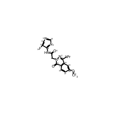 CC(C)c1nn(CC(=O)Nc2ncncc2F)c(=O)c2ccc(OC(F)(F)F)cc12